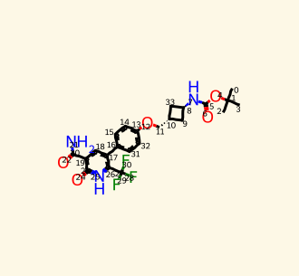 CC(C)(C)OC(=O)N[C@H]1C[C@H](COc2ccc(-c3cc(C(N)=O)c(=O)[nH]c3C(F)(F)F)cc2)C1